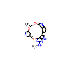 CNc1nc2c3c(c[nH]c3n1)-c1ccc3ncc(cc3c1)OCC(C)Oc1cncc(c1)CO2